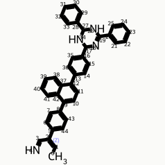 C/C=C(\C=N)c1ccc(-c2ccc(-c3ccc(C4N=C(c5ccccc5)NC(c5ccccc5)N4)cc3)c3ccccc23)cc1